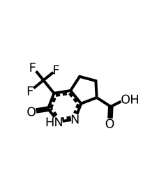 O=C(O)C1CCc2c1n[nH]c(=O)c2C(F)(F)F